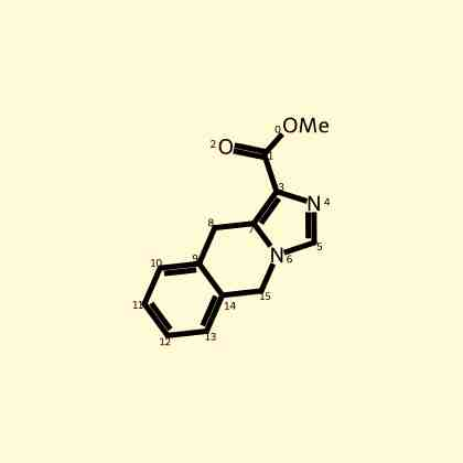 COC(=O)c1ncn2c1Cc1ccccc1C2